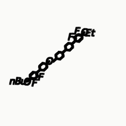 CCCCOc1ccc(C2CCC(OCC3CCC(C4CCC(c5ccc(OCC)c(F)c5F)CC4)CC3)CC2)c(F)c1F